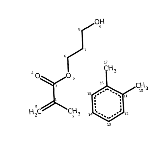 C=C(C)C(=O)OCCCO.Cc1ccccc1C